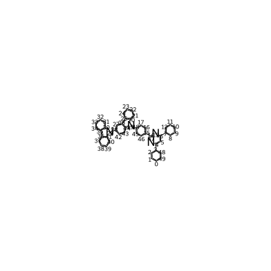 c1ccc(-c2cc(-c3ccccc3)nc(-c3ccc(-n4c5ccccc5c5cc(-n6c7ccccc7c7ccccc76)ccc54)cc3)n2)cc1